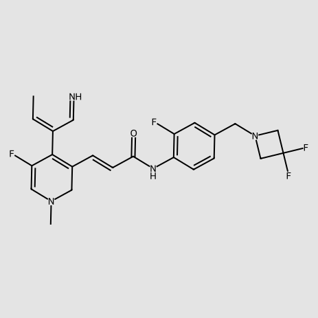 C/C=C(\C=N)C1=C(/C=C/C(=O)Nc2ccc(CN3CC(F)(F)C3)cc2F)CN(C)C=C1F